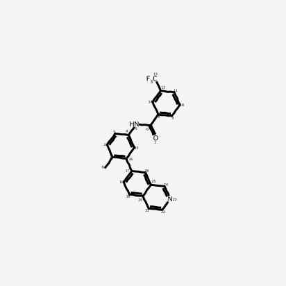 Cc1ccc(NC(=O)c2cccc(C(F)(F)F)c2)cc1-c1ccc2ccncc2c1